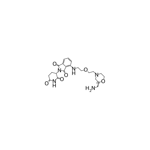 NC[C@H]1CN(CCOCCNc2cccc3c2C(=O)N(C2CCC(=O)NC2=O)C3=O)CCO1